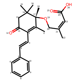 CC1=C(/C=C/c2ccccc2)C(=O)CC(C)(C)[C@]1(C)OC/C(C)=C\C(=O)O